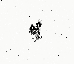 NC(=O)NCc1nc(-c2ccc(F)cc2)c(-c2ccccc2S(N)(=O)=O)o1